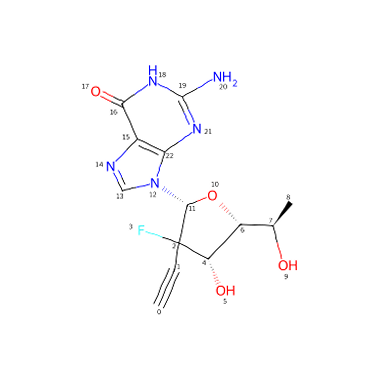 C#CC1(F)[C@@H](O)[C@@H]([C@@H](C)O)O[C@H]1n1cnc2c(=O)[nH]c(N)nc21